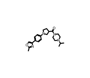 Cc1nc(-c2ccc(N3CCC(C(=O)N4CCN(C(C)C)CC4)C3)cc2)co1